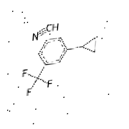 C#N.FC(F)(F)c1cccc(C2CC2)c1